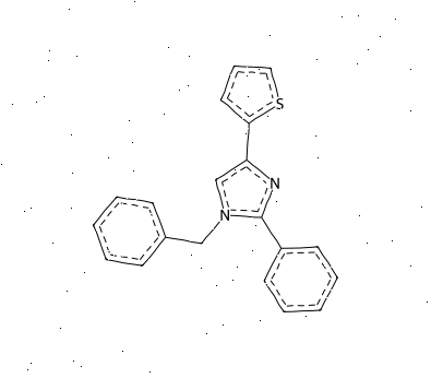 c1ccc(Cn2cc(-c3cccs3)nc2-c2ccccc2)cc1